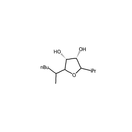 CCCCC(C)C1OC(C(C)C)[C@@H](O)[C@H]1O